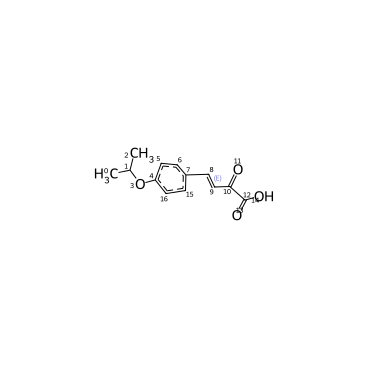 CC(C)Oc1ccc(/C=C/C(=O)C(=O)O)cc1